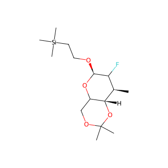 C[C@@H]1C(F)[C@H](OCC[Si](C)(C)C)OC2COC(C)(C)O[C@H]21